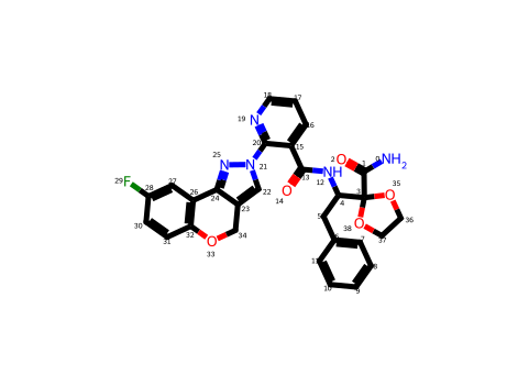 NC(=O)C1(C(Cc2ccccc2)NC(=O)c2cccnc2-n2cc3c(n2)-c2cc(F)ccc2OC3)OCCO1